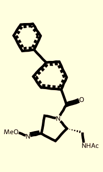 CON=C1C[C@@H](CNC(C)=O)N(C(=O)c2ccc(-c3ccccc3)cc2)C1